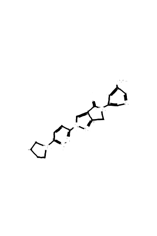 COc1cncc(N2Cc3nn(-c4ccc(N5CCCC5)nn4)cc3C2=O)c1